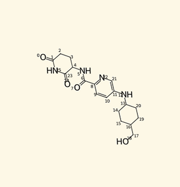 O=C1CCC(NC(=O)c2ccc(NC3CCC(CO)CC3)cn2)C(=O)N1